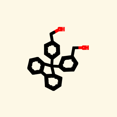 OCc1ccc(C2(c3cccc(CO)c3)c3ccccc3-c3ccccc32)cc1